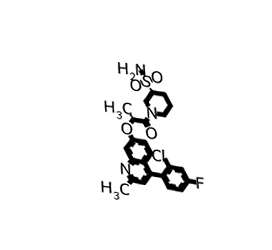 Cc1cc(-c2ccc(F)cc2Cl)c2ccc(O[C@H](C)C(=O)N3CCC[C@@H](S(N)(=O)=O)C3)cc2n1